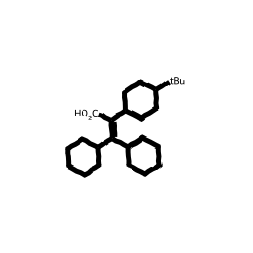 CC(C)(C)C1CCC(C(C(=O)O)=C(C2CCCCC2)C2CCCCC2)CC1